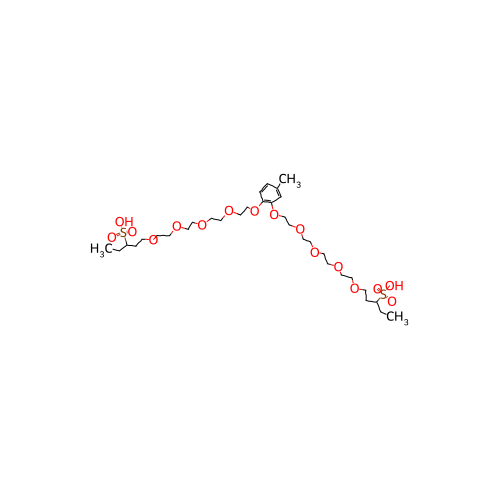 CCC(CCOCCOCCOCCOCCOc1ccc(C)cc1OCCOCCOCCOCCOCCC(CC)S(=O)(=O)O)S(=O)(=O)O